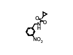 O=[N+]([O-])c1cccc(CNS(=O)(=O)C2CC2)c1